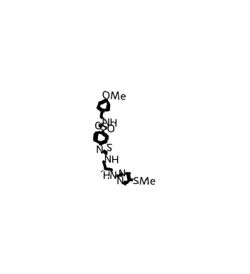 COc1ccc(CNS(=O)(=O)c2ccc3nc(NC[C@@H](C)CNc4ncc(SC)cn4)sc3c2)cc1